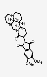 COc1cc2c(cc1OC)C(=O)N(C1CC[C@@H]3[C@H]4CCCN5CCC[C@@H](CN3C1=O)[C@@H]45)C2=O